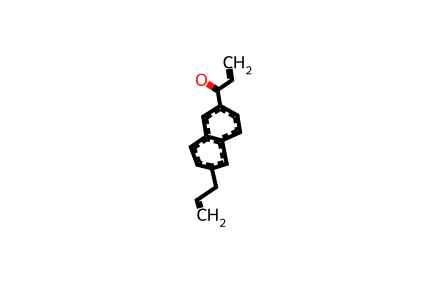 C=CCc1ccc2cc(C(=O)C=C)ccc2c1